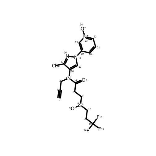 C#CCN(C(=O)CC[S+]([O-])CCC(F)(F)F)c1cn(-c2ccc[n+]([O-])c2)nc1Cl